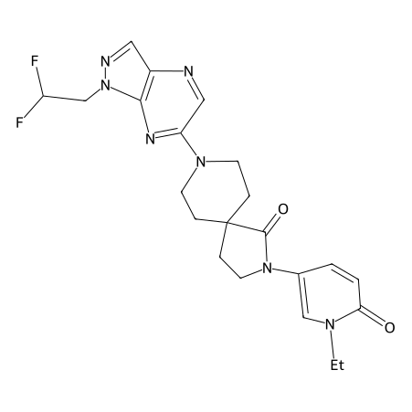 CCn1cc(N2CCC3(CCN(c4cnc5cnn(CC(F)F)c5n4)CC3)C2=O)ccc1=O